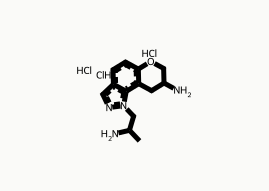 CC(N)Cn1ncc2ccc3c(c21)CC(N)CO3.Cl.Cl.Cl